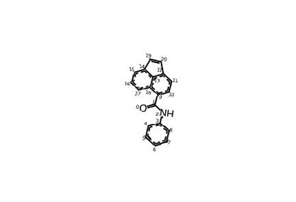 O=C(Nc1ccccc1)c1ccc2c3c(cccc13)C=C2